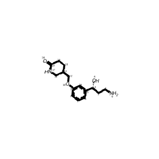 NCC[C@@H](O)c1cccc(OCC2CCC(=O)NC2)c1